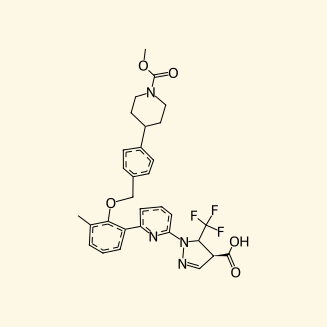 COC(=O)N1CCC(c2ccc(COc3c(C)cccc3-c3cccc(N4N=C[C@H](C(=O)O)C4C(F)(F)F)n3)cc2)CC1